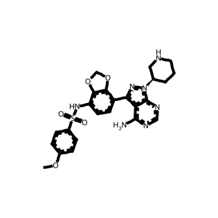 COc1ccc(S(=O)(=O)Nc2ccc(-c3nn([C@@H]4CCCNC4)c4ncnc(N)c34)c3c2OCO3)cc1